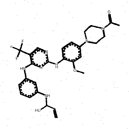 C=CC(O)Nc1cccc(Nc2nc(Nc3ccc(N4CCN(C(C)=O)CC4)cc3OC)ncc2C(F)(F)F)c1